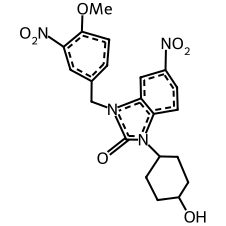 COc1ccc(Cn2c(=O)n(C3CCC(O)CC3)c3ccc([N+](=O)[O-])cc32)cc1[N+](=O)[O-]